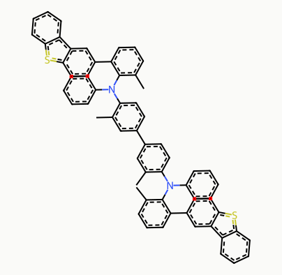 Cc1cc(-c2ccc(N(c3ccccc3)c3c(C)cccc3-c3ccc4sc5ccccc5c4c3)c(C)c2)ccc1N(c1ccccc1)c1c(C)cccc1-c1ccc2sc3ccccc3c2c1